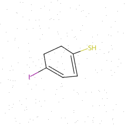 SC1=CC=C(I)CC1